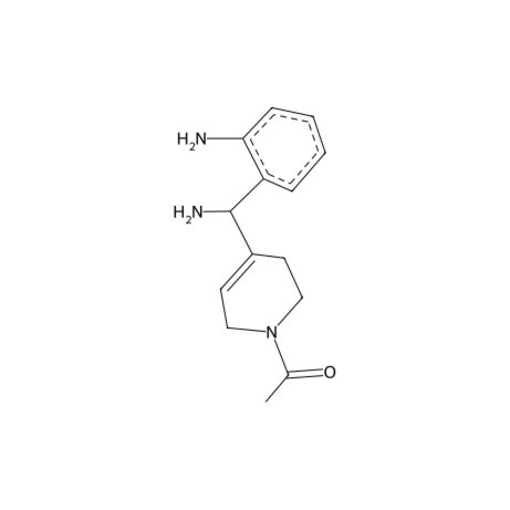 CC(=O)N1CC=C(C(N)c2ccccc2N)CC1